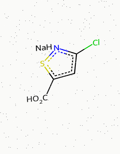 O=C(O)c1cc(Cl)ns1.[NaH]